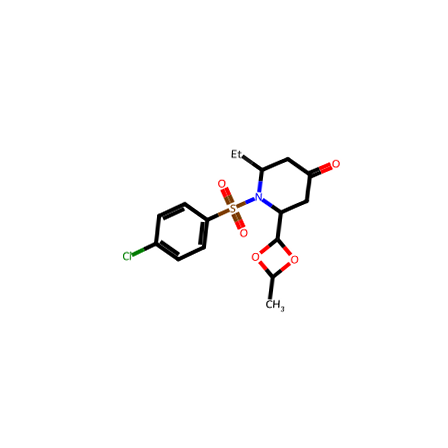 CCC1CC(=O)CC(C2OC(C)O2)N1S(=O)(=O)c1ccc(Cl)cc1